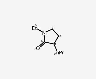 CCCC1CCN(CC)C1=O